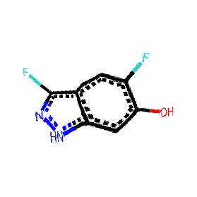 Oc1cc2[nH]nc(F)c2cc1F